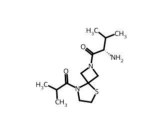 CC(C)C(=O)N1CCSC12CN(C(=O)[C@@H](N)C(C)C)C2